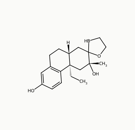 CC[C@@]12C[C@@](C)(O)C3(BCCO3)C[C@H]1CCc1cc(O)ccc12